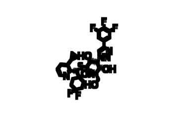 OC[C@H]1O[C@@H](S[C@H](c2ncccc2C2CC2)C2(O)CCC(F)(F)CC2)[C@H](O)[C@@H](n2cc(-c3cc(F)c(F)c(F)c3)nn2)[C@H]1O